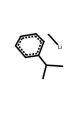 CC(C)c1cc[c]cc1.[Li][CH3]